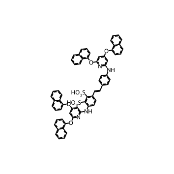 O=S(=O)(O)c1c(C=Cc2ccc(Nc3cc(Oc4cccc5ccccc45)cc(Oc4cccc5ccccc45)n3)cc2)ccc(Nc2cc(Oc3cccc4ccccc34)cc(Oc3cccc4ccccc34)n2)c1S(=O)(=O)O